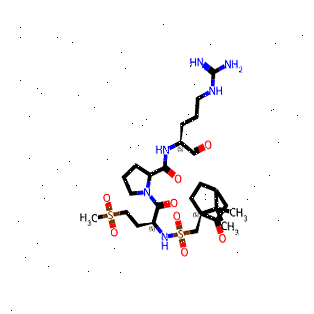 CC1(C)C2CC[C@@]1(CS(=O)(=O)N[C@@H](CCS(C)(=O)=O)C(=O)N1CCCC1C(=O)N[C@H](C=O)CCCNC(=N)N)C(=O)C2